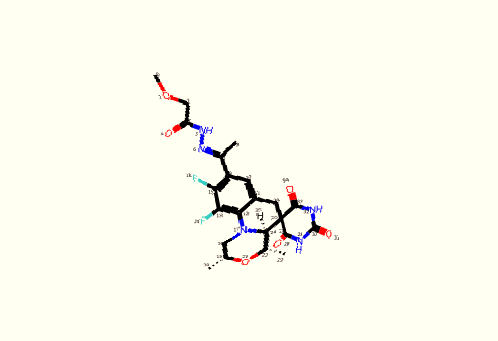 COCC(=O)N/N=C(\C)c1cc2c(c(F)c1F)N1C[C@@H](C)O[C@@H](C)[C@@H]1C1(C2)C(=O)NC(=O)NC1=O